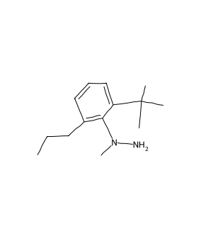 CCCc1cccc(C(C)(C)C)c1N(C)N